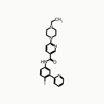 CCN1CCN(c2ccc(C(=O)Nc3ccc(I)c(-c4ccccn4)c3)cn2)CC1